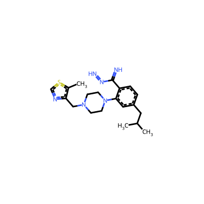 Cc1scnc1CN1CCN(c2cc(CC(C)C)ccc2C(=N)N=N)CC1